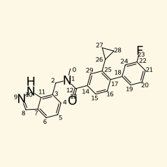 CN(Cc1cccc2cn[nH]c12)C(=O)c1ccc(-c2cccc(F)c2)c(C2CC2)c1